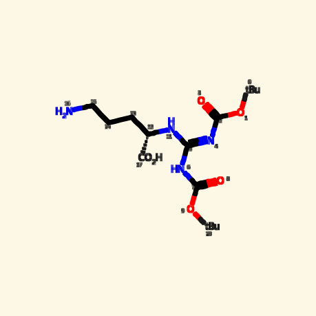 CC(C)(C)OC(=O)/N=C(/NC(=O)OC(C)(C)C)N[C@@H](CCCN)C(=O)O